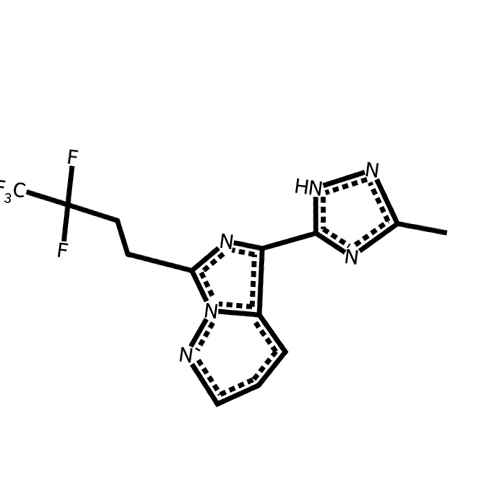 Cc1n[nH]c(-c2nc(CCC(F)(F)C(F)(F)F)n3ncccc23)n1